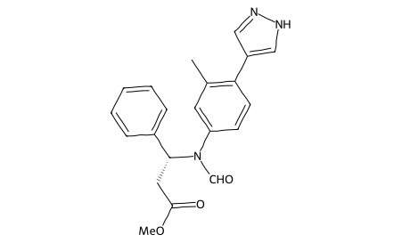 COC(=O)C[C@H](c1ccccc1)N(C=O)c1ccc(-c2cn[nH]c2)c(C)c1